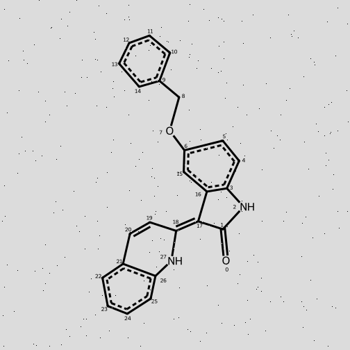 O=C1Nc2ccc(OCc3ccccc3)cc2/C1=C1\C=Cc2ccccc2N1